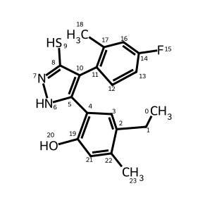 CCc1cc(-c2[nH]nc(S)c2-c2ccc(F)cc2C)c(O)cc1C